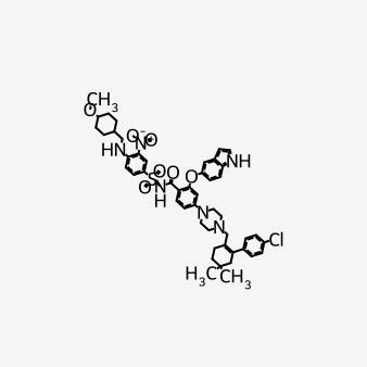 COC1CCC(CNc2ccc(S(=O)(=O)NC(=O)c3ccc(N4CCN(CC5=C(c6ccc(Cl)cc6)CC(C)(C)CC5)CC4)cc3Oc3ccc4[nH]ccc4c3)cc2[N+](=O)[O-])CC1